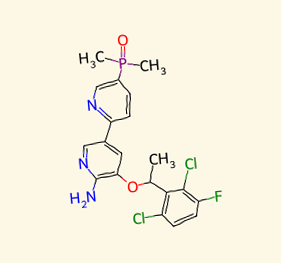 CC(Oc1cc(-c2ccc(P(C)(C)=O)cn2)cnc1N)c1c(Cl)ccc(F)c1Cl